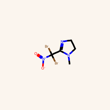 CN1CCN=C1C(Br)(Br)[N+](=O)[O-]